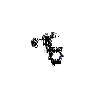 C=C(CCCCC(=O)ON1C(=O)CCC1=O)N[C@H](C(=O)N[C@@H](CCCNC(N)=O)C(=O)Nc1ccc(NC(=O)O[C@H]2CC(=O)N(C)c3cc(cc(OC)c3Cl)C/C(C)=C/C=C/[C@@H](OC)[C@@]3(O)C[C@H](OC(=O)N3)[C@@H](C)[C@@H]3O[C@@]23C)c(OC)c1)C(C)OC